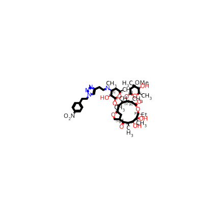 CC[C@H]1OC(=O)[C@H](C)[C@@H](O[C@H]2C[C@@](C)(OC)[C@@H](O)[C@H](C)O2)[C@H](C)[C@@H](O[C@@H]2O[C@H](C)C[C@H](N(C)CCc3cn(CCc4ccc([N+](=O)[O-])cc4)nn3)[C@H]2O)[C@@]2(C)C[C@@H](CO2)C(=O)[C@H](C)[C@@H](O)[C@]1(C)O